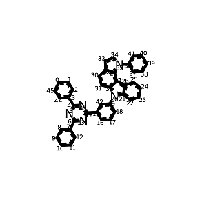 c1ccc(-c2nc(-c3ccccc3)nc(-c3cccc(-n4c5ccccc5c5c6c(ccc54)ccn6-c4ccccc4)c3)n2)cc1